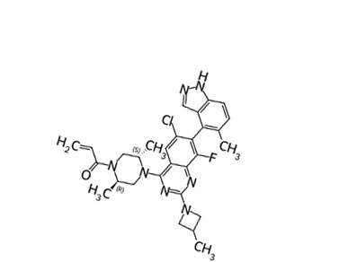 C=CC(=O)N1C[C@H](C)N(c2nc(N3CC(C)C3)nc3c(F)c(-c4c(C)ccc5[nH]ncc45)c(Cl)cc23)C[C@H]1C